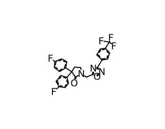 O=C1N(Cc2nc(-c3ccc(C(F)(F)F)cc3)no2)CCC1(c1ccc(F)cc1)c1ccc(F)cc1